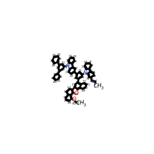 C/C=C/c1ccc2c3ccccc3n(-c3cc(-c4ccc5c(c4)c4ccccc4n5-c4cc(-c5ccccc5)cc(-c5ccccc5)c4)cc(-c4cc5c6ccc7cccc(OCC)c7c6oc5c5ccccc45)c3)c2c1